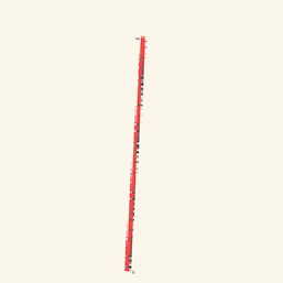 [CH2]CCCCCCCCCCCCCCCCCCCCCCCCCCCCCCCCCCCCCCCCCCCCCCCCCCCCCCCCCCCCCCCCCCCCCCCCCCCCCCCCCCCCCCCC[CH2]